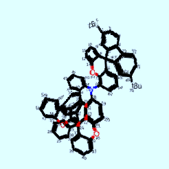 CC(C)(C)c1ccc2c(c1)C1(c3ccccc3Oc3c(N(c4ccc5c(c4)C(c4ccccc4)(c4ccccc4)c4ccccc4O5)c4ccccc4-c4cccc5oc6ccccc6c45)cccc31)c1cc(C(C)(C)C)ccc1-2